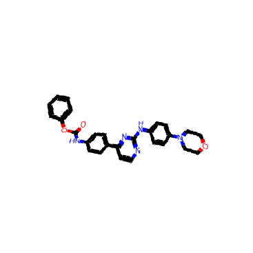 O=C(Nc1ccc(-c2ccnc(Nc3ccc(N4CCOCC4)cc3)n2)cc1)Oc1ccccc1